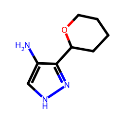 Nc1c[nH]nc1C1CCCCO1